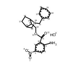 Cl.Nc1ccc([N+](=O)[O-])cc1C(=O)OCC1C2CCC1N(Cc1ccccc1)C2